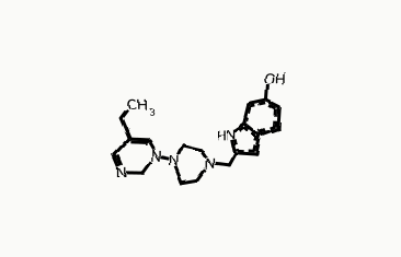 CCC1=CN(N2CCN(Cc3cc4ccc(O)cc4[nH]3)CC2)CN=C1